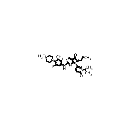 C=CCn1c(=O)c2cnc(Nc3cc(C)c(N4CCN(C)CC4)c(F)c3)nc2n1-c1ccc(=O)n(C(C)C)n1